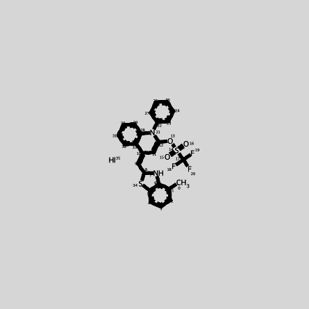 Cc1cccc2c1NC(C=C1C=C(OS(=O)(=O)C(F)(F)F)N(c3ccccc3)c3ccccc31)S2.I